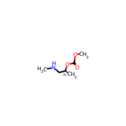 CNC[C@H](C)OC(=O)OC